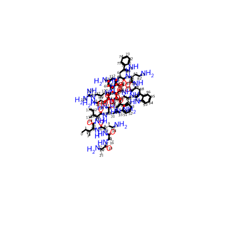 CC[C@H](C)[C@H](NC(=O)[C@H](CCN)NC(=O)[C@H](C)NC(=O)[C@H](C)N)C(=O)N[C@H](C(=O)N[C@@H](CC(C)C)C(=O)N[C@@H](CCN)C(=O)N[C@@H](Cc1c[nH]c2ccccc12)C(=O)N[C@@H](CCN)C(=O)N[C@@H](Cc1c[nH]c2ccccc12)C(=O)N[C@@H](CCN)C(=O)N[C@@H](Cc1c[nH]c2ccccc12)C(=O)N[C@@H](CCN)C(=O)N[C@@H](Cc1ccccc1)C(=O)N[C@@H](CCCNC(=N)N)C(=O)O)[C@@H](C)CC